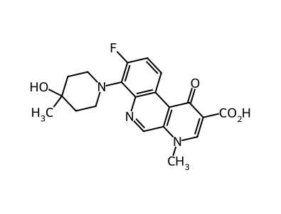 Cn1cc(C(=O)O)c(=O)c2c3ccc(F)c(N4CCC(C)(O)CC4)c3ncc21